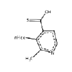 CCCCCCc1c(C(O)=S)ccnc1C